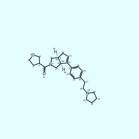 O=C(C1CCOC1)N1C[C@H]2CC=C(c3ccc(CCN4CCCC4)cc3)[C@H]2C1